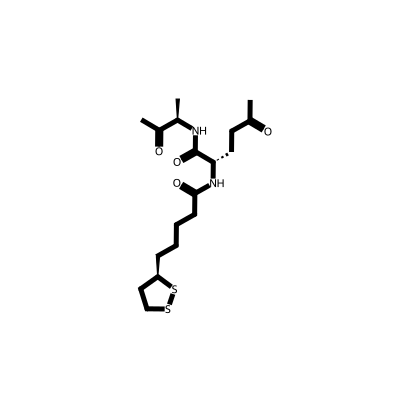 CC(=O)CC[C@H](NC(=O)CCCC[C@@H]1CCSS1)C(=O)N[C@H](C)C(C)=O